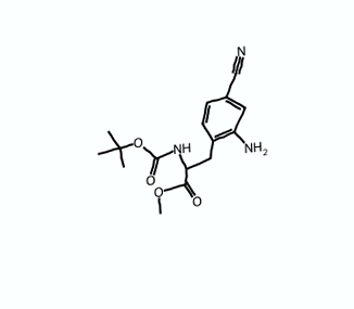 COC(=O)C(Cc1ccc(C#N)cc1N)NC(=O)OC(C)(C)C